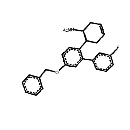 CC(=O)NC1CC=CCC1c1ccc(OCc2ccccc2)cc1-c1cccc(F)c1